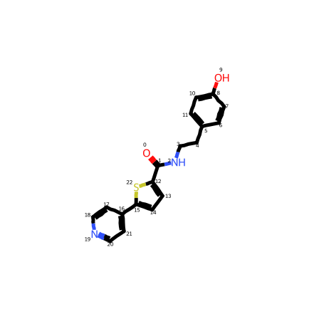 O=C(NCCc1ccc(O)cc1)c1ccc(-c2ccncc2)s1